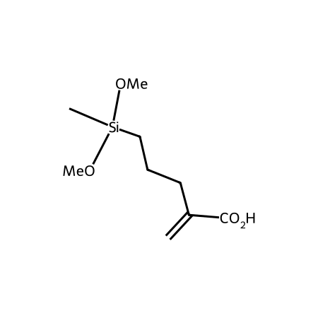 C=C(CCC[Si](C)(OC)OC)C(=O)O